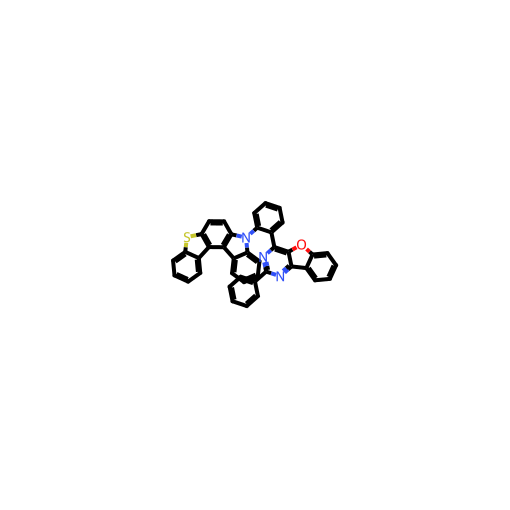 c1ccc(-c2nc(-c3ccccc3-n3c4ccccc4c4c5c(ccc43)sc3ccccc35)c3oc4ccccc4c3n2)cc1